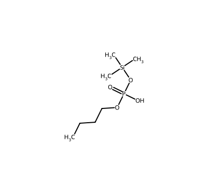 CCCCOP(=O)(O)O[Si](C)(C)C